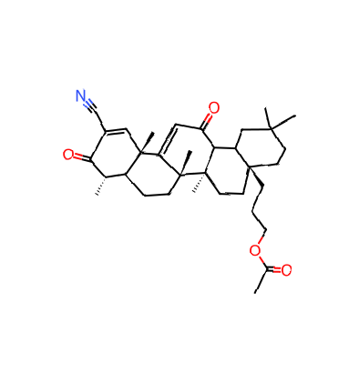 CC(=O)OCCC[C@]12CCC(C)(C)CC1C1C(=O)C=C3[C@@]4(C)C=C(C#N)C(=O)[C@@H](C)C4CC[C@@]3(C)[C@]1(C)CC2